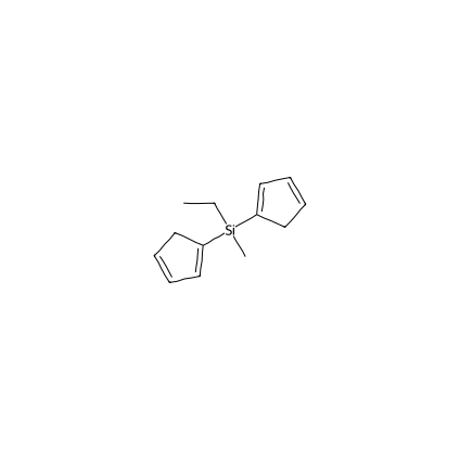 CC[Si](C)(C1=CC=CC1)C1=CC=CC1